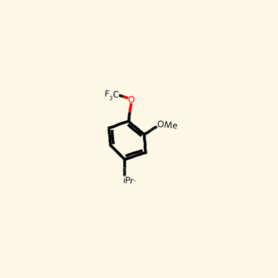 COc1cc([C](C)C)ccc1OC(F)(F)F